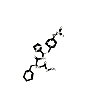 COC(=O)N[C@@H](CC1=CCCC=C1)C(=O)N[C@@H](Cc1ccc(N[SH](=O)=O)cc1)c1nccs1